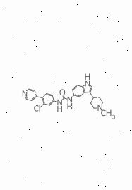 CN1CCC(c2c[nH]c3ccc(NC(=O)Nc4ccc(-c5ccncc5)c(Cl)c4)cc23)CC1